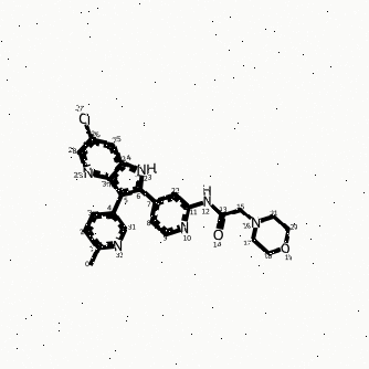 Cc1ccc(-c2c(-c3ccnc(NC(=O)CN4CCOCC4)c3)[nH]c3cc(Cl)cnc23)cn1